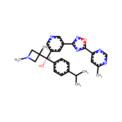 Cc1cc(-c2nc(-c3cncc([C@@](O)(c4ccc(C(C)C)cc4)C4(C)CN(C)C4)c3)no2)ncn1